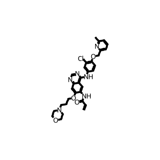 C=CC(=O)Nc1cc2c(Nc3ccc(OCc4cccc(C)n4)c(Cl)c3)ncnc2cc1OCCCN1CCOCC1